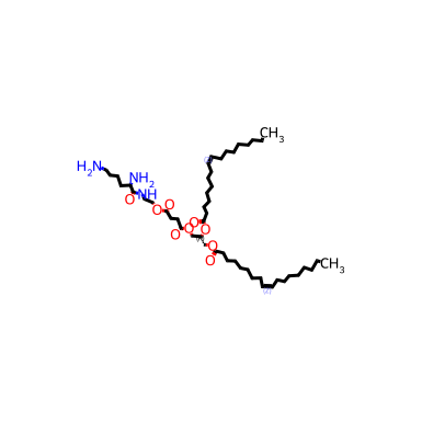 CCCCCCCC/C=C\CCCCCCCC(=O)OC[C@H](COC(=O)CCC(=O)OCCNC(=O)C(N)CCCCN)OC(=O)CCCCCCC/C=C\CCCCCCCC